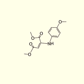 COC(=O)/C=C(/Nc1ccc(OC)cc1)C(=O)OC